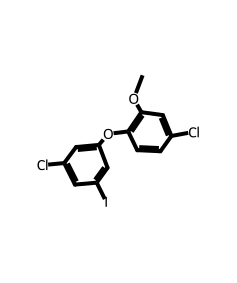 COc1cc(Cl)ccc1Oc1cc(Cl)cc(I)c1